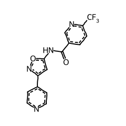 O=C(Nc1cc(-c2ccncc2)no1)c1ccc(C(F)(F)F)nc1